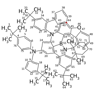 CC(C)(C)c1ccc(N(c2cccc(C(C)(C)C)c2)c2cc3c4c(c2)N(c2ccc(C(C)(C)C)cc2-c2ccccc2)c2ccc5oc6ccccc6c5c2B4N2c4c-3cc(C(C)(C)C)cc4C3(C)CCCCC23C)cc1